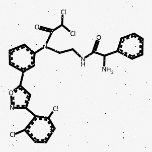 NC(C(=O)NCCN(C(=O)C(Cl)Cl)c1cccc(-c2cc(-c3c(Cl)cccc3Cl)no2)c1)c1ccccc1